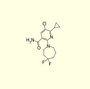 NC(=O)c1cc(Cl)c(C2CC2)nc1N1CCCC(F)(F)CC1